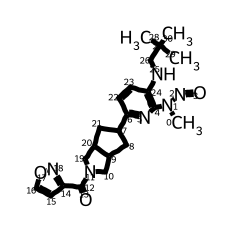 CN(N=O)c1nc(C2CC3CN(C(=O)c4ccon4)CC3C2)ccc1NCC(C)(C)C